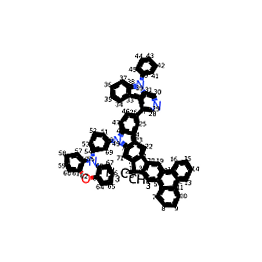 CC1(C)c2cc3c4ccccc4c4ccccc4c3cc2-c2cc3c4cc(-c5cncc6c5c5ccccc5n6-c5ccccc5)ccc4n(-c4cccc(N5c6ccccc6Oc6ccccc65)c4)c3cc21